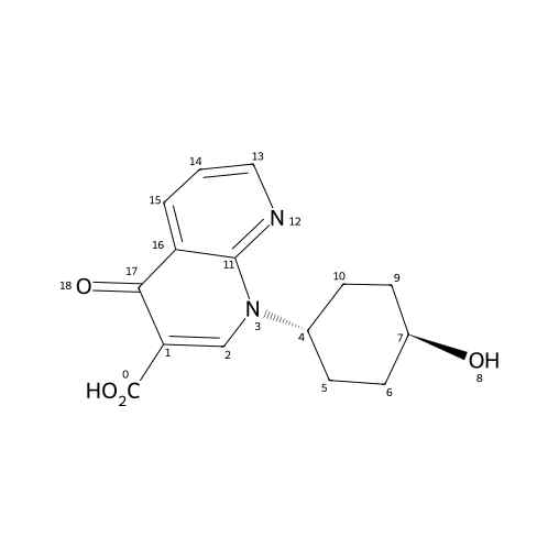 O=C(O)c1cn([C@H]2CC[C@H](O)CC2)c2ncccc2c1=O